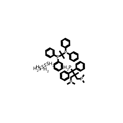 CC(C)(P(c1ccccc1)c1ccccc1)P(c1ccccc1)c1ccccc1.CP(C)CC(C)(CP(C)C)C(P)(c1ccccc1)c1ccccc1.S.S.S.S